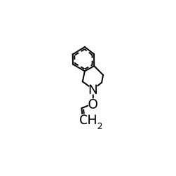 C=CON1CCc2ccccc2C1